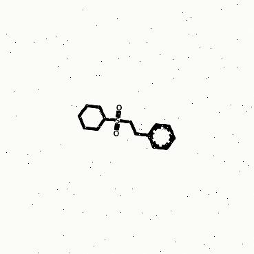 O=S(=O)(CCc1ccccc1)C1CCCCC1